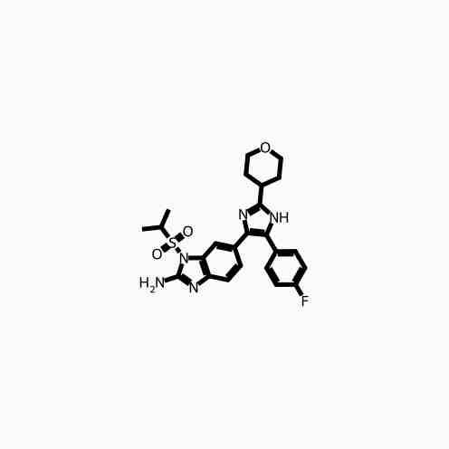 CC(C)S(=O)(=O)n1c(N)nc2ccc(-c3nc(C4CCOCC4)[nH]c3-c3ccc(F)cc3)cc21